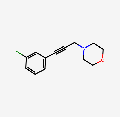 Fc1[c]c(C#CCN2CCOCC2)ccc1